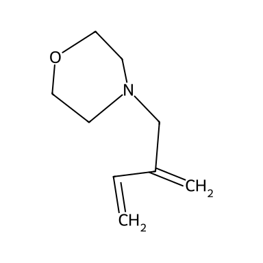 C=CC(=C)CN1CCOCC1